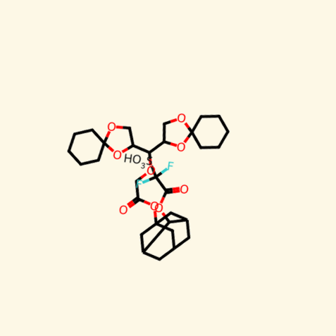 O=C(COC(C1COC2(CCCCC2)O1)C1COC2(CCCCC2)O1)OC12CC3CC(C1)C(OC(=O)C(F)(F)S(=O)(=O)O)C(C3)C2